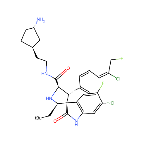 C=C(/C=C\C=C(\Cl)CF)[C@H]1[C@H](C(=O)NCC[C@H]2CC[C@H](N)C2)N[C@H](CC(C)(C)C)[C@]12C(=O)Nc1cc(Cl)c(F)cc12